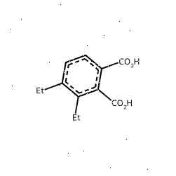 CCc1ccc(C(=O)O)c(C(=O)O)c1CC